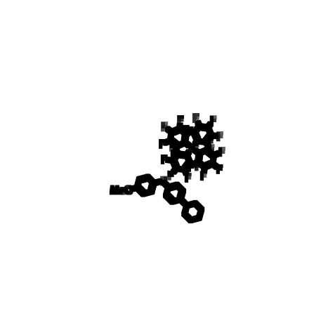 COc1ccc([I+]c2ccc(C3CCCCC3)cc2)cc1.Fc1c(F)c(F)c([B-](c2c(F)c(F)c(F)c(F)c2F)(c2c(F)c(F)c(F)c(F)c2F)c2c(F)c(F)c(F)c(F)c2F)c(F)c1F